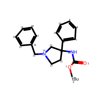 CC(C)(C)OC(=O)NC1(c2ccccc2)CCN(Cc2ccccc2)C1